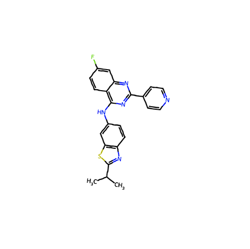 CC(C)c1nc2ccc(Nc3nc(-c4ccncc4)nc4cc(F)ccc34)cc2s1